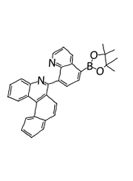 CC1(C)OB(c2ccc(-c3nc4ccccc4c4c3ccc3ccccc34)c3ncccc23)OC1(C)C